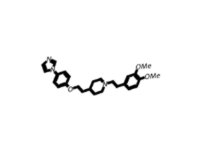 COc1ccc(CCN2CCC(CCOc3ccc(-n4ccnc4)cc3)CC2)cc1OC